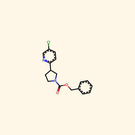 O=C(OCc1ccccc1)N1CCC(c2ccc(Cl)cn2)C1